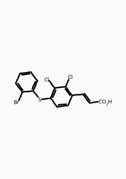 O=C(O)C=Cc1ccc(Sc2ccccc2Br)c(Cl)c1Cl